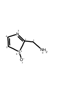 NCc1ncc[s+]1[O-]